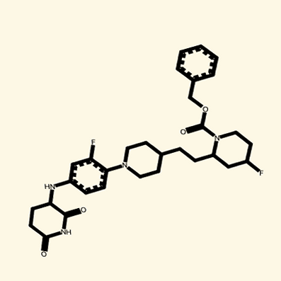 O=C1CCC(Nc2ccc(N3CCC(CCC4CC(F)CCN4C(=O)OCc4ccccc4)CC3)c(F)c2)C(=O)N1